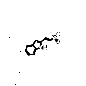 O=S(=O)(F)C=Cc1cc2ccccc2[nH]1